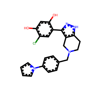 Oc1cc(O)c(-c2n[nH]c3c2CN(Cc2ccc(-n4cccc4)cc2)CC3)cc1Cl